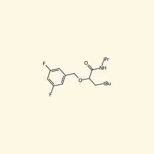 CC(C)NC(=O)C(CC(C)(C)C)OCc1cc(F)cc(F)c1